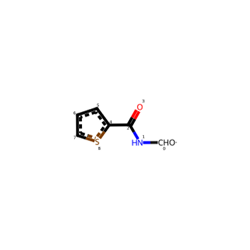 O=[C]NC(=O)c1cccs1